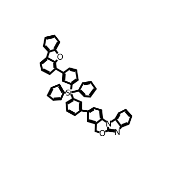 c1ccc([Si](c2ccccc2)(c2cccc(-c3ccc4c(c3)COc3nc5ccccc5n3-4)c2)c2cccc(-c3cccc4c3oc3ccccc34)c2)cc1